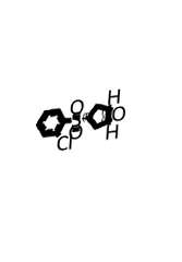 O=S(=O)(c1ccccc1Cl)[C@@H]1C[C@@H]2O[C@@H]2C1